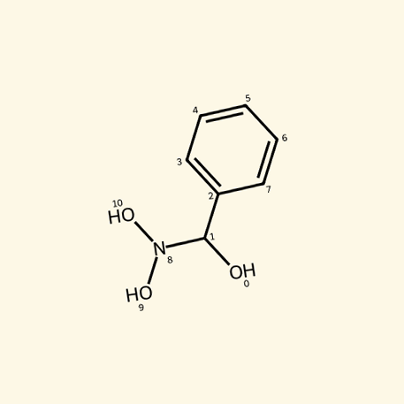 OC(c1ccccc1)N(O)O